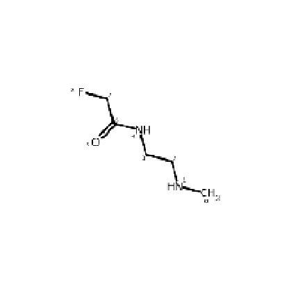 CNCCNC(=O)CF